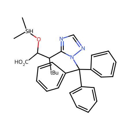 C[SiH](C)OC(C(=O)O)C(c1ncnn1C(c1ccccc1)(c1ccccc1)c1ccccc1)C(C)(C)C